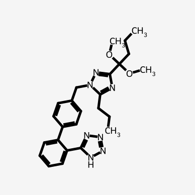 CCCc1nc(C(CCC)(OC)OC)nn1Cc1ccc(-c2ccccc2-c2nnn[nH]2)cc1